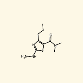 CCCc1nc(NN)sc1C(=O)N(C)C